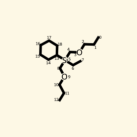 CCCOC[Si](CC)(COCCC)C1CCCCC1